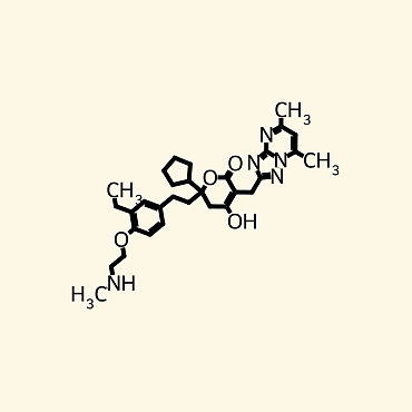 CCc1cc(CCC2(C3CCCC3)CC(O)=C(Cc3nc4nc(C)cc(C)n4n3)C(=O)O2)ccc1OCCNC